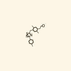 Cc1ccc(-c2nsc(Cc3cc(C)c(CC=O)cc3C)n2)cc1